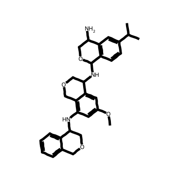 COc1cc(NC2COCc3ccccc32)c2c(c1)C(NC1OCC(N)c3cc(C(C)C)ccc31)COC2